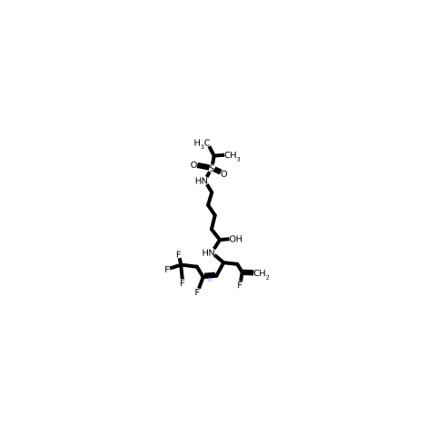 C=C(F)CC(/C=C(/F)CC(F)(F)F)NC(O)CCCCNS(=O)(=O)C(C)C